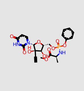 C#C[C@@]1(O)[C@H](O)[C@@H](CO[P@](=O)(N[C@@H](C)C(=O)OC)Oc2ccccc2)O[C@H]1n1ccc(=O)[nH]c1=O